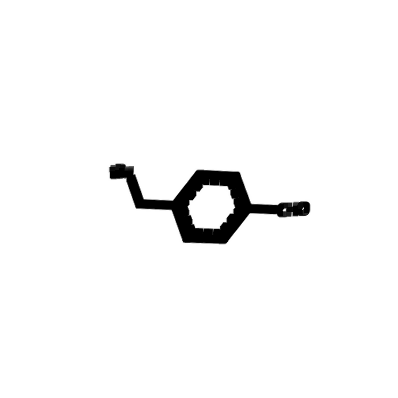 CC(C)(C)Cc1ccc(C=O)cc1